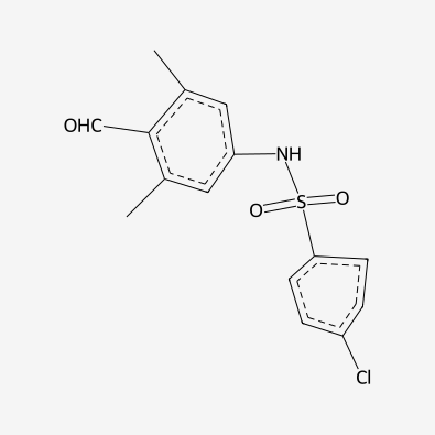 Cc1cc(NS(=O)(=O)c2ccc(Cl)cc2)cc(C)c1C=O